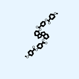 COc1ccc(C(=O)Oc2ccc(C(=O)Oc3cccc4c3C3(CC4)CCc4cccc(OC(=O)c5ccc(OC(=O)c6ccc(OC)cc6)cc5)c43)cc2)cc1